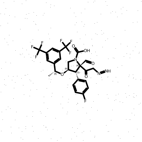 C[C@@H](O[C@H]1CN(C(=O)O)[C@](C=O)(C(=O)CN=N)[C@@H]1c1ccc(F)cc1)c1cc(C(F)(F)F)cc(C(F)(F)F)c1